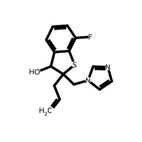 C=CCC1(Cn2ccnc2)Sc2c(F)cccc2C1O